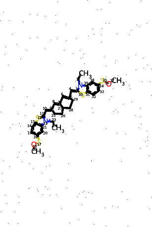 CCN1/C(=C/C2=CC3=C/C(=C/c4sc5ccc(SOC)cc5[n+]4CC)CCC3CC2)Sc2ccc(SOC)cc21